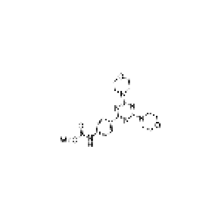 COC(=O)Nc1ccc(-c2nc(N3CCOCC3)nc(N3CCOCC3)n2)cc1